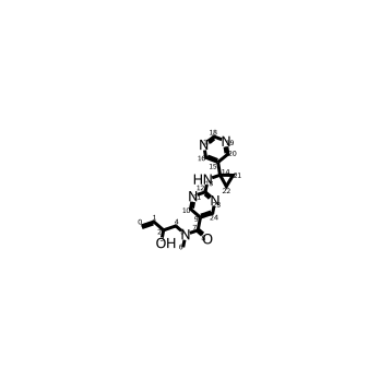 C=CC(O)CN(C)C(=O)c1cnc(NC2(c3cncnc3)CC2)nc1